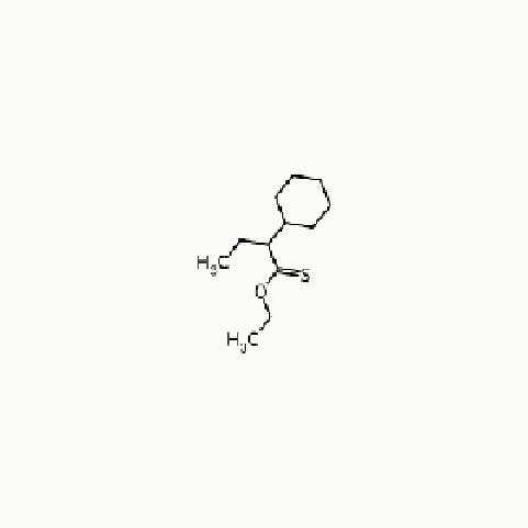 CCOC(=S)C(CC)C1CCCCC1